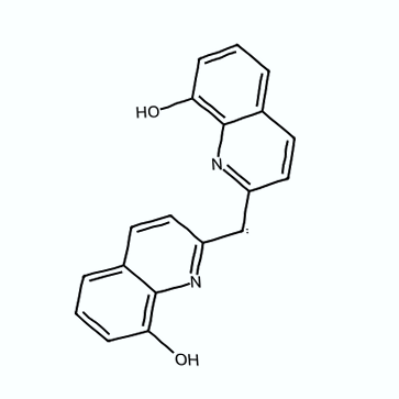 Oc1cccc2ccc([C]c3ccc4cccc(O)c4n3)nc12